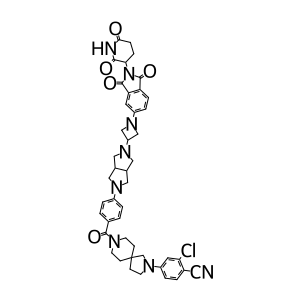 N#Cc1ccc(N2CCC3(CCN(C(=O)c4ccc(N5CC6CN(C7CN(c8ccc9c(c8)C(=O)N(C8CCC(=O)NC8=O)C9=O)C7)CC6C5)cc4)CC3)C2)cc1Cl